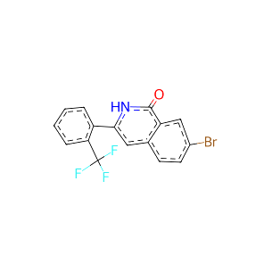 O=c1[nH]c(-c2ccccc2C(F)(F)F)cc2ccc(Br)cc12